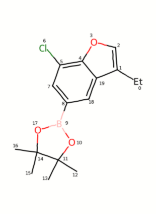 CCc1coc2c(Cl)cc(B3OC(C)(C)C(C)(C)O3)cc12